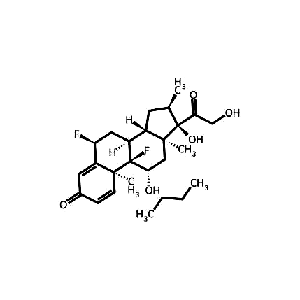 CCCC.C[C@@H]1C[C@H]2[C@@H]3C[C@H](F)C4=CC(=O)C=C[C@]4(C)[C@@]3(F)[C@@H](O)C[C@]2(C)[C@@]1(O)C(=O)CO